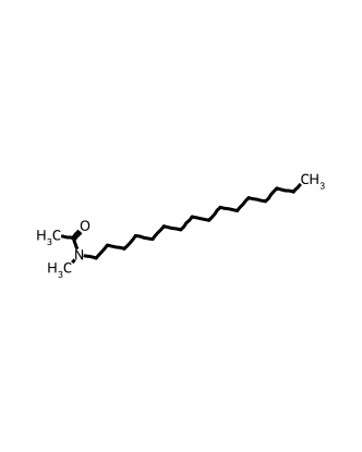 CCCCCCCCCCCCCCCCN(C)C(C)=O